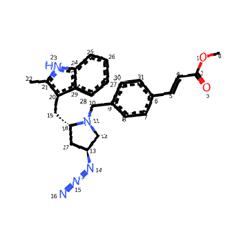 COC(=O)/C=C/c1ccc(CN2C[C@@H](N=[N+]=[N-])C[C@@H]2Cc2c(C)[nH]c3ccccc23)cc1